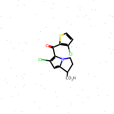 O=C(c1sccc1Cl)c1c(Cl)cc2n1CCC2C(=O)O